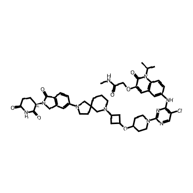 CNC(=O)COc1cc2cc(Nc3nc(N4CCC(OC5CC(N6CCCC7(CCN(c8ccc9c(c8)CN([C@@H]8CCC(=O)NC8=O)C9=O)C7)C6)C5)CC4)ncc3Cl)ccc2n(C(C)C)c1=O